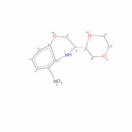 O=[N+]([O-])c1cccc2c1NC([C@H]1COCCO1)CO2